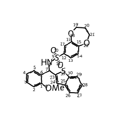 COc1ccccc1C(NS(=O)(=O)c1ccc2c(c1)OCCCO2)c1cc2ccccc2s1